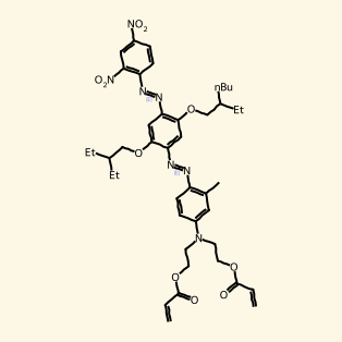 C=CC(=O)OCCN(CCOC(=O)C=C)c1ccc(/N=N/c2cc(OCC(CC)CCCC)c(/N=N/c3ccc([N+](=O)[O-])cc3[N+](=O)[O-])cc2OCC(CC)CC)c(C)c1